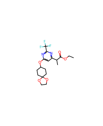 CCOC(=O)C(C)c1cc(OC2CCC3(CC2)OCCO3)nc(C(F)(F)F)n1